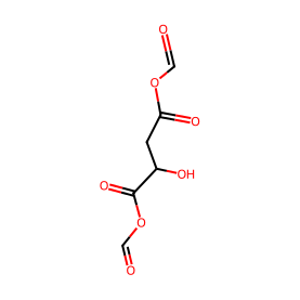 O=COC(=O)CC(O)C(=O)OC=O